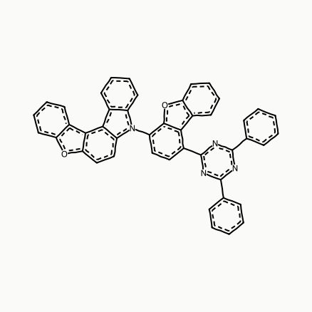 c1ccc(-c2nc(-c3ccccc3)nc(-c3ccc(-n4c5ccccc5c5c6c(ccc54)oc4ccccc46)c4oc5ccccc5c34)n2)cc1